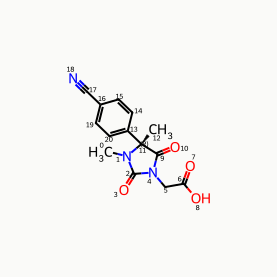 CN1C(=O)N(CC(=O)O)C(=O)[C@@]1(C)c1ccc(C#N)cc1